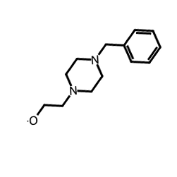 [O]CCN1CCN(Cc2ccccc2)CC1